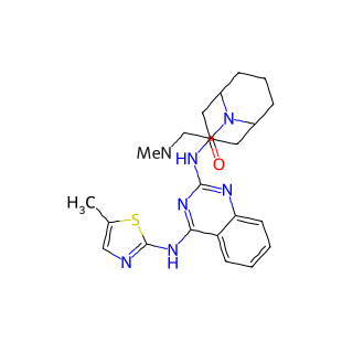 CNCC(=O)N1C2CCCC1CC(Nc1nc(Nc3ncc(C)s3)c3ccccc3n1)C2